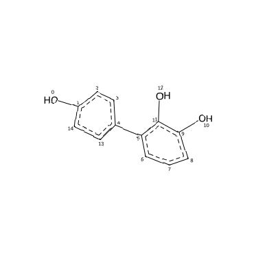 Oc1ccc(-c2cccc(O)c2O)cc1